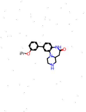 CC(C)Oc1cccc(-c2ccc3c(c2)N2CCNCC2CC(=O)N3)c1